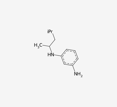 CC(C)CC(C)Nc1cccc(N)c1